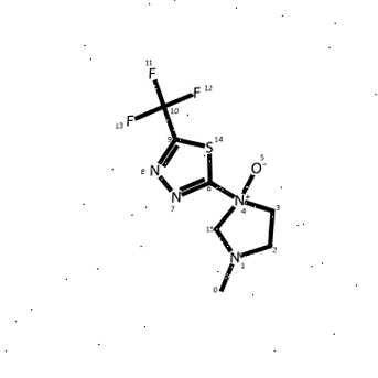 CN1CC[N+]([O-])(c2nnc(C(F)(F)F)s2)C1